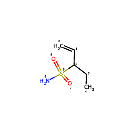 C=CC(CC)S(N)(=O)=O